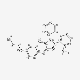 Nc1ccccc1C1SC(=Cc2ccc(OCCBr)cc2)C(=O)N1c1ccccc1